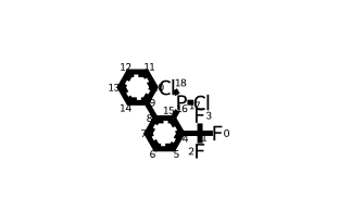 FC(F)(F)c1cccc(-c2ccccc2)c1P(Cl)Cl